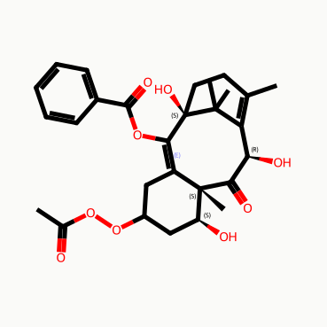 CC(=O)OOC1C/C2=C(\OC(=O)c3ccccc3)[C@]3(O)CCC(C)=C([C@@H](O)C(=O)[C@]2(C)[C@@H](O)C1)C3(C)C